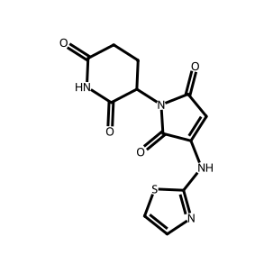 O=C1CCC(N2C(=O)C=C(Nc3nccs3)C2=O)C(=O)N1